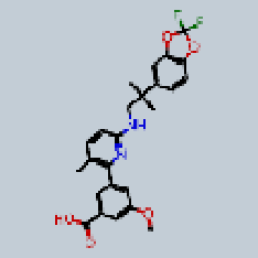 COc1cc(C(=O)O)cc(-c2nc(NCC(C)(C)c3ccc4c(c3)OC(F)(F)O4)ccc2C)c1